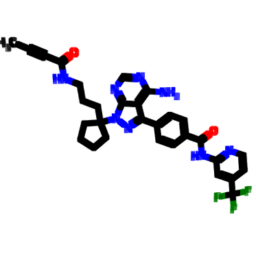 CC#CC(=O)NCCCC1(n2nc(-c3ccc(C(=O)Nc4cc(C(F)(F)F)ccn4)cc3)c3c(N)ncnc32)CCCC1